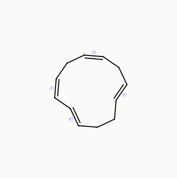 [C]1=C\C/C=C/CC/C=C/C=C\C/1